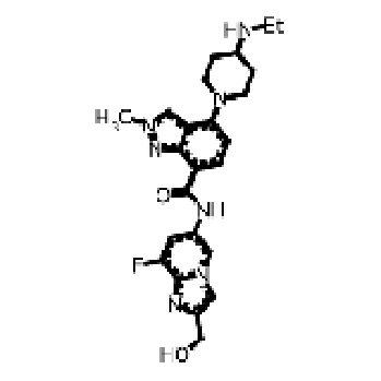 CCNC1CCN(c2ccc(C(=O)Nc3cc(F)c4nc(CO)cn4c3)c3nn(C)cc23)CC1